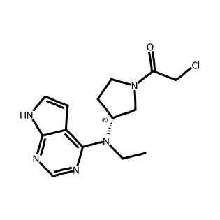 CCN(c1ncnc2[nH]ccc12)[C@@H]1CCN(C(=O)CCl)C1